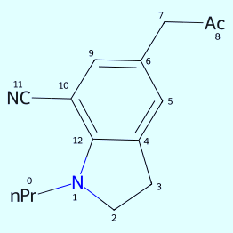 [CH2]CCN1CCc2cc(CC(C)=O)cc(C#N)c21